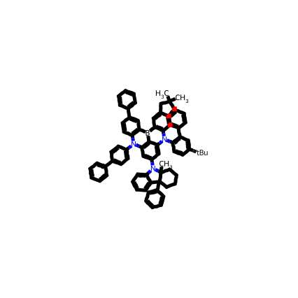 CC1(C)Cc2cc3c(cc2C1)N(c1ccc(C(C)(C)C)cc1-c1ccccc1)c1cc(N2c4ccccc4C4(c5ccccc5)CCCCC24C)cc2c1B3c1cc(-c3ccccc3)ccc1N2c1ccc(-c2ccccc2)cc1